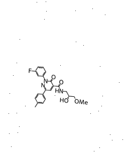 COC[C@@H](O)CNC(=O)c1cc(-c2ccc(C)cc2)nn(-c2cccc(F)c2)c1=O